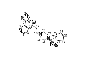 c1cncc(-c2nsnc2OCCCN2CCN(c3nsc4ccccc34)CC2)c1